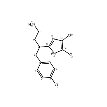 NCCC(Cc1ccc(Cl)cc1)c1nc(Cl)c(Cl)[nH]1